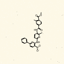 COC(=O)c1ccc(C(=O)Nc2ccc(Nc3nc(-c4ccccc4)ccc3[N+](=O)[O-])nc2C)cc1C